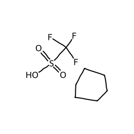 C1CCCCC1.O=S(=O)(O)C(F)(F)F